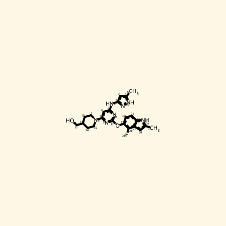 Cc1cc(Nc2cc(N3CCC(CO)CC3)nc(Oc3ccc4[nH]c(C)cc4c3F)n2)n[nH]1